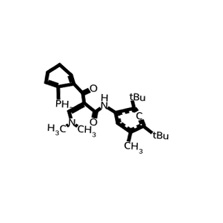 Cc1cc(NC(=O)/C(=C\N(C)C)C(=O)C2=CCCC=C2P)c(C(C)(C)C)cc1C(C)(C)C